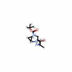 Cc1nn(C)c(CN(C(=O)OC(C)(C)C)C2CC2)c1Br